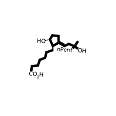 CCCCCC(C)(O)CC=C1CC[C@@H](O)[C@@H]1CCCCCCC(=O)O